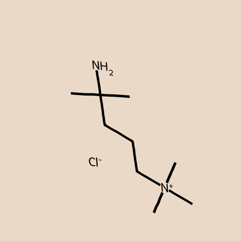 CC(C)(N)CCC[N+](C)(C)C.[Cl-]